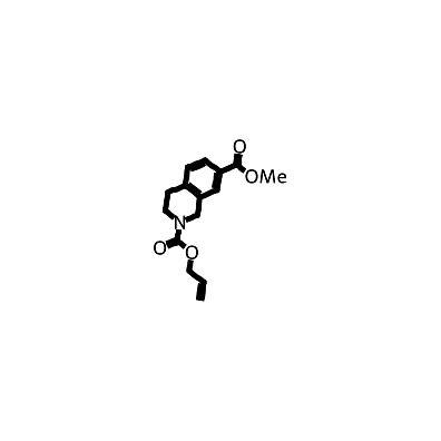 C=CCOC(=O)N1CCc2ccc(C(=O)OC)cc2C1